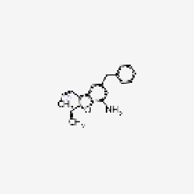 C=Cc1oc2c(N)cc(Cc3ccccc3)cc2c1/C=C\C